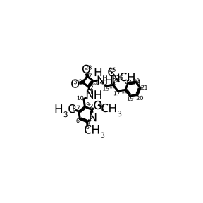 COc1nc(C)cc(C)c1CNc1c(NCC(Cc2ccccc2)N(C)C)c(=O)c1=O